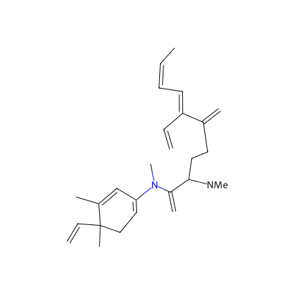 C=C/C(=C\C=C/C)C(=C)CCC(NC)C(=C)N(C)C1=CCC(C)(C=C)C(C)=C1